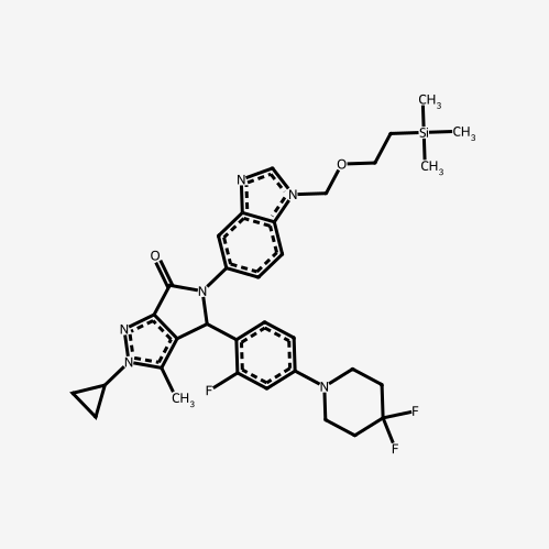 Cc1c2c(nn1C1CC1)C(=O)N(c1ccc3c(c1)ncn3COCC[Si](C)(C)C)C2c1ccc(N2CCC(F)(F)CC2)cc1F